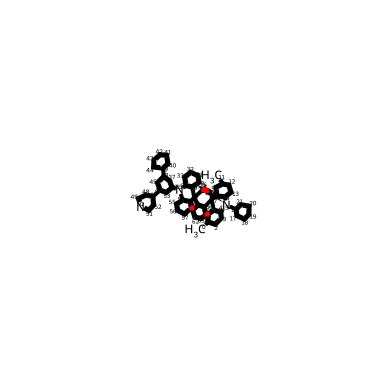 Cc1ccc2c(c1)C1(c3cc(C)ccc3N2c2ccccc2)c2ccccc2C2(c3ccccc3N(c3cc(-c4ccccc4)cc(-c4ccncc4)c3)c3ccccc32)c2ccccc21